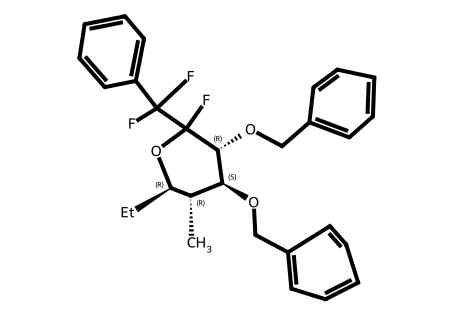 CC[C@H]1OC(F)(C(F)(F)c2ccccc2)[C@H](OCc2ccccc2)[C@@H](OCc2ccccc2)[C@@H]1C